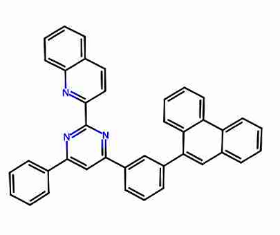 c1ccc(-c2cc(-c3cccc(-c4cc5ccccc5c5ccccc45)c3)nc(-c3ccc4ccccc4n3)n2)cc1